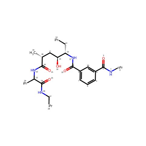 CCCNC(=O)c1cccc(C(=O)N[C@@H](CC(C)C)[C@@H](O)C[C@@H](C)C(=O)NC(C(=O)NCC(C)C)C(C)C)c1